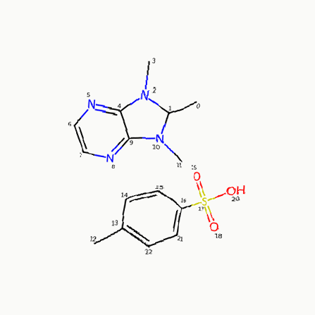 CC1N(C)c2nccnc2N1C.Cc1ccc(S(=O)(=O)O)cc1